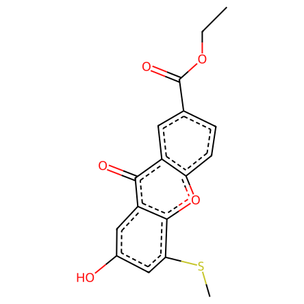 CCOC(=O)c1ccc2oc3c(SC)cc(O)cc3c(=O)c2c1